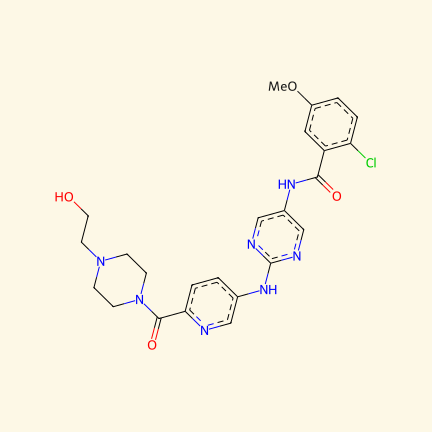 COc1ccc(Cl)c(C(=O)Nc2cnc(Nc3ccc(C(=O)N4CCN(CCO)CC4)nc3)nc2)c1